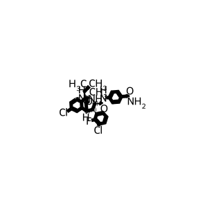 CC(C)(C)C[C@H]1N[C@@H](C(=O)Nc2ccc(C(N)=O)cc2)[C@H](c2cccc(Cl)c2F)[C@@H]2C(=O)NC3=CC(Cl)=CC2C31